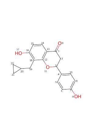 O=C1CC(c2ccc(O)cc2)Oc2c1ccc(O)c2CC1CC1